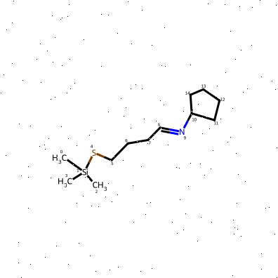 C[Si](C)(C)SCCCC=NC1CCCC1